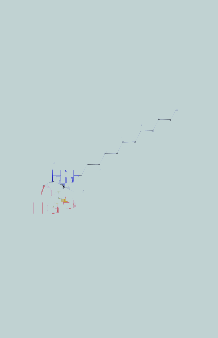 CCCCCCCCCCCCNC(C)(C(C)C)S(=O)(=O)O